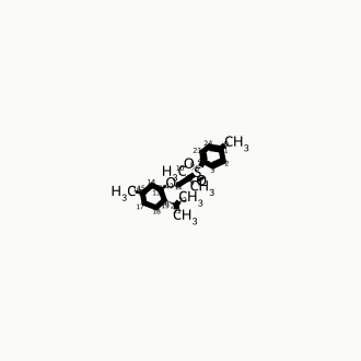 Cc1ccc(S(=O)(=O)C(C)(C)CO[C@@H]2C[C@H](C)CC[C@H]2C(C)C)cc1